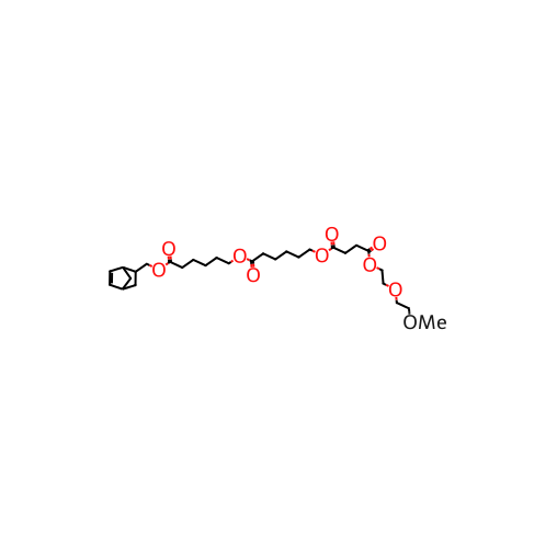 COCCOCCOC(=O)CCC(=O)OCCCCCC(=O)OCCCCCC(=O)OCC1CC2C=CC1C2